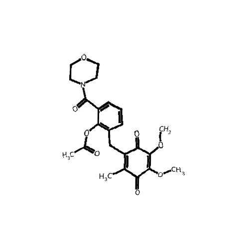 COC1=C(OC)C(=O)C(Cc2cccc(C(=O)N3CCOCC3)c2OC(C)=O)=C(C)C1=O